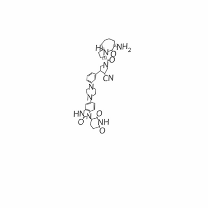 N#CC1CN(C(=O)[C@@H]2CC[C@@H]3CCCC[C@H](N)C(=O)N32)CC1c1cccc(N2CCN(c3ccc4c(c3)[nH]c(=O)n4C3CCC(=O)NC3=O)CC2)c1